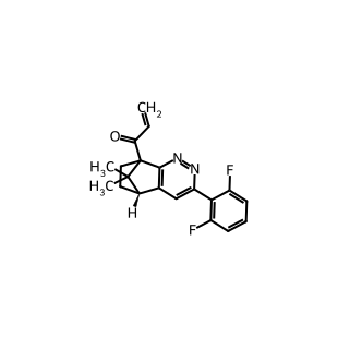 C=CC(=O)C12CC[C@@H](c3cc(-c4c(F)cccc4F)nnc31)C2(C)C